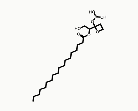 CCCCCCCCCCCCCCCCCC(=O)OC(CO)C1(OB(O)O)CCO1